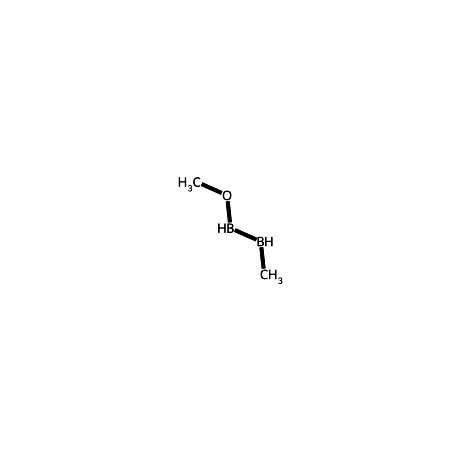 CBBOC